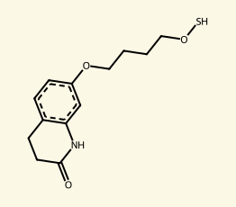 O=C1CCc2ccc(OCCCCOS)cc2N1